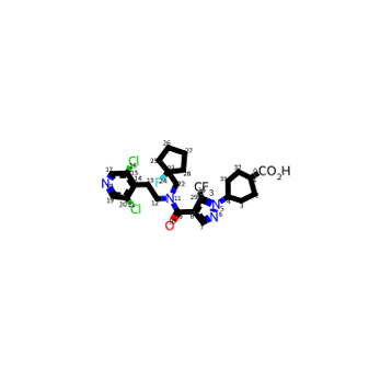 O=C(O)C1CCC(n2ncc(C(=O)N(CCc3c(Cl)cncc3Cl)CC3(F)CCCC3)c2C(F)(F)F)CC1